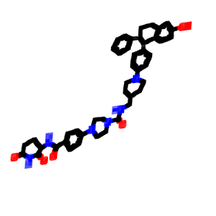 O=C1CCC(NC(=O)c2ccc(N3CCN(C(=O)NCC4CCN(c5ccc([C@@H]6c7ccc(O)cc7CC[C@@H]6c6ccccc6)cc5)CC4)CC3)cc2)C(=O)N1